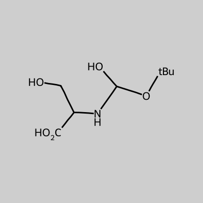 CC(C)(C)OC(O)NC(CO)C(=O)O